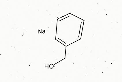 OCc1ccccc1.[Na]